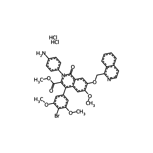 COC(=O)c1c(-c2cc(OC)c(Br)c(OC)c2)c2cc(OC)c(OCc3nccc4ccccc34)cc2c(=O)n1-c1ccc(N)cc1.Cl.Cl